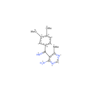 CNc1ncnc(N)c1C(=N)c1ccc(OC)c(OC)c1